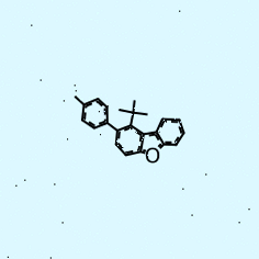 Cc1ccc(-c2ccc3oc4ccccc4c3c2C(C)(C)C)cc1